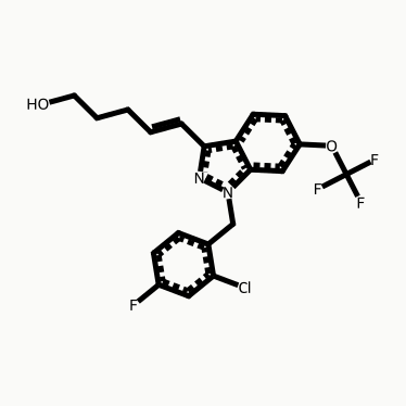 OCCCC=Cc1nn(Cc2ccc(F)cc2Cl)c2cc(OC(F)(F)F)ccc12